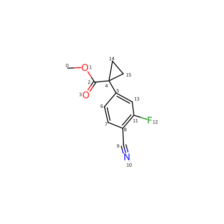 COC(=O)C1(c2ccc(C#N)c(F)c2)CC1